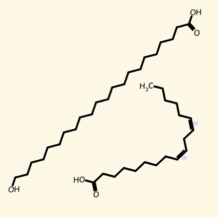 CCCCC/C=C\C/C=C\CCCCCCCC(=O)O.O=C(O)CCCCCCCCCCCCCCCCCCCCCO